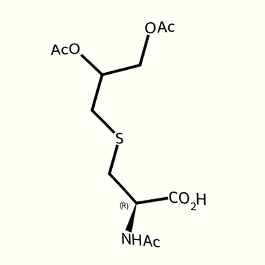 CC(=O)N[C@@H](CSCC(COC(C)=O)OC(C)=O)C(=O)O